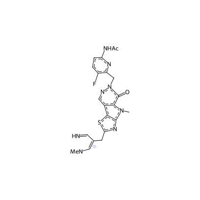 CN/C=C(\C=N)Cc1nc2c(s1)c1cnn(Cc3nc(NC(C)=O)ccc3F)c(=O)c1n2C